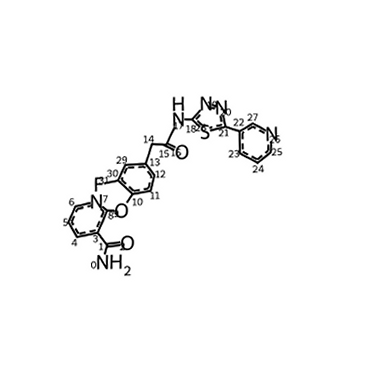 NC(=O)c1cccnc1Oc1ccc(CC(=O)Nc2nnc(-c3cccnc3)s2)cc1F